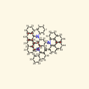 c1ccc(-c2ccccc2N(c2cc3c4c(c2)N(c2cccc5ccccc25)c2c(ccc5ccccc25)B4c2ccc4ccccc4c2N3c2cccc3ccccc23)c2ccccc2-c2ccccc2)cc1